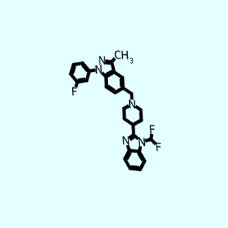 Cc1nn(-c2cccc(F)c2)c2ccc(CN3CCC(c4nc5ccccc5n4C(F)F)CC3)cc12